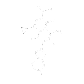 Nc1c(F)c(-n2cc3ccc(F)cc3c2)c(F)c2c1c(=O)c(C(=O)O)cn2C1CC1